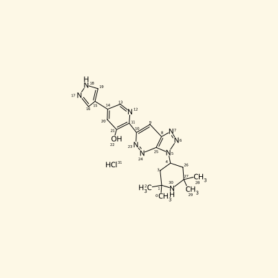 CC1(C)CC(n2nnc3cc(-c4ncc(-c5cn[nH]c5)cc4O)nnc32)CC(C)(C)N1.Cl